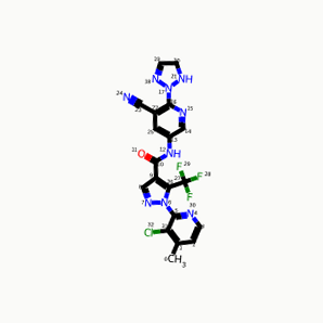 Cc1ccnc(-n2ncc(C(=O)Nc3cnc(N4N=CCN4)c(C#N)c3)c2C(F)(F)F)c1Cl